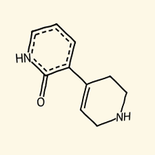 O=c1[nH]cccc1C1=CCNCC1